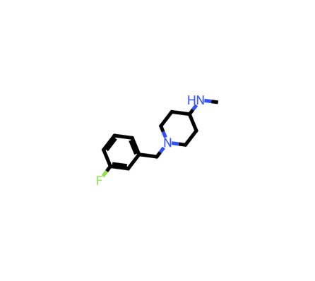 CNC1CCN(Cc2cccc(F)c2)CC1